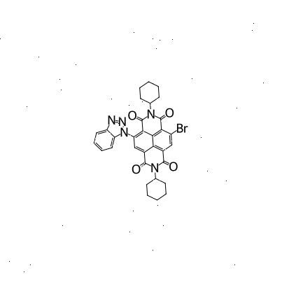 O=C1c2cc(Br)c3c4c(c(-n5nnc6ccccc65)cc(c24)C(=O)N1C1CCCCC1)C(=O)N(C1CCCCC1)C3=O